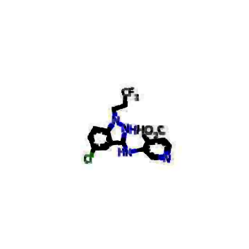 O=C(O)c1ccncc1NC1NN(CCC(F)(F)F)c2ccc(Cl)cc21